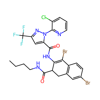 CCCCNC(=O)C1Cc2cc(Br)ccc2C(Br)=C1NC(=O)c1cc(C(F)(F)F)nn1-c1ncccc1Cl